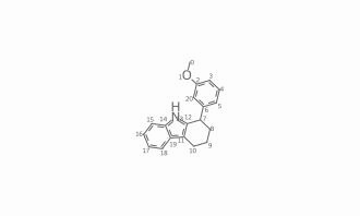 COc1cccc(C2CCCc3c2[nH]c2ccccc32)c1